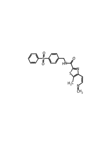 C=N/C=C\c1nc(C(=O)NCc2ccc(S(=O)(=O)c3ccccc3)cc2)sc1C